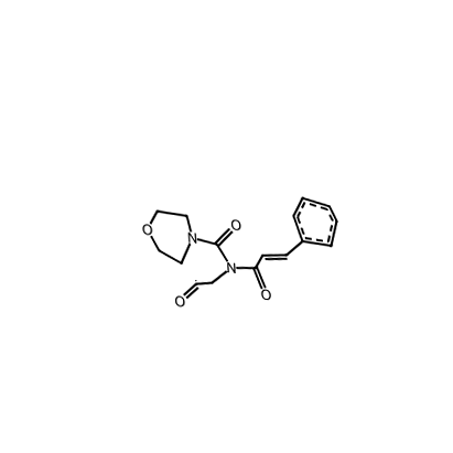 O=[C]CN(C(=O)C=Cc1ccccc1)C(=O)N1CCOCC1